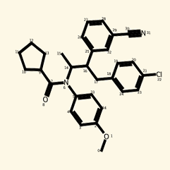 COc1ccc(N(C(=O)C2CCCC2)C(C)C(Cc2ccc(Cl)cc2)c2cccc(C#N)c2)cc1